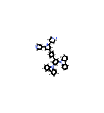 C1=CC2c3ccccc3N(c3cc(-c4ccc(-c5cc(C6=CCNC=C6)nc(-c6ccncc6)c5)cc4)cc(-n4c5ccccc5c5ccccc54)c3)C2CC1